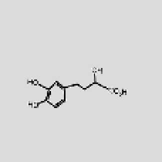 O=C(O)C(O)CCc1ccc(O)c(O)c1